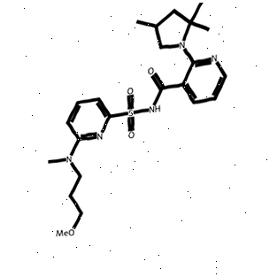 COCCCN(C)c1cccc(S(=O)(=O)NC(=O)c2cccnc2N2CC(C)CC2(C)C)n1